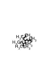 CC/N=C(\C(C)C)C(C)/C(=C\C=C(/C)F)CC(C)CC